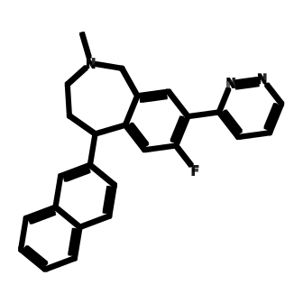 CN1CCC(c2ccc3ccccc3c2)c2cc(F)c(-c3cccnn3)cc2C1